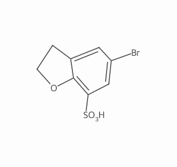 O=S(=O)(O)c1cc(Br)cc2c1OCC2